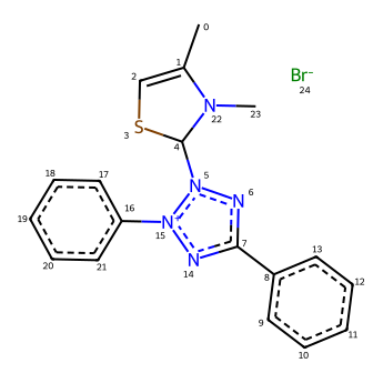 CC1=CSC(n2nc(-c3ccccc3)n[n+]2-c2ccccc2)N1C.[Br-]